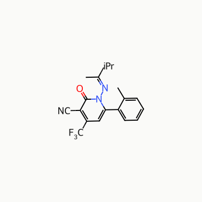 C/C(=N\n1c(-c2ccccc2C)cc(C(F)(F)F)c(C#N)c1=O)C(C)C